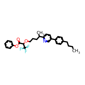 CCCCc1ccc(-c2ccc(C(C)CCCOC(C(=O)Oc3ccccc3)C(F)(F)F)nc2)cc1